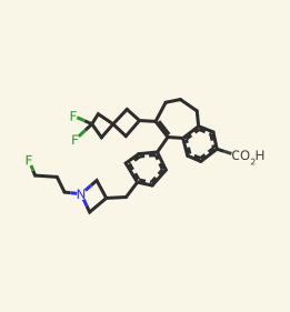 O=C(O)c1ccc2c(c1)CCCC(C1CC3(C1)CC(F)(F)C3)=C2c1ccc(CC2CN(CCCF)C2)cc1